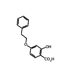 O=C(O)c1ccc(OCCc2ccccc2)cc1O